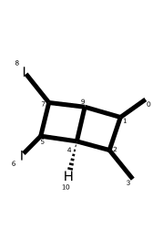 CC1C(C)[C@H]2C(I)C(I)C12